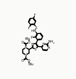 CC(C)(C)OC(=O)N1CCN(C(=O)OC(C)(C)C)C(c2nc(-c3cccc(NSc4cc(F)ccc4F)c3F)c(-c3ccnc(N)n3)s2)C1